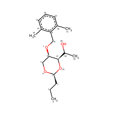 CCC[C@H]1OC[C@@H](OCc2c(C)cccc2C)[C@@H](C(C)O)O1